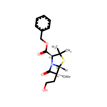 CO[C@]1(CCO)C(=O)N2[C@@H](C(=O)OCc3ccccc3)C(C)(C)S[C@@H]21